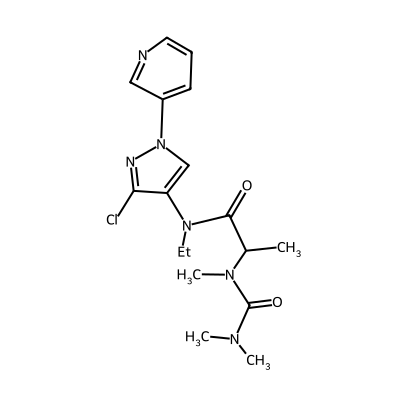 CCN(C(=O)C(C)N(C)C(=O)N(C)C)c1cn(-c2cccnc2)nc1Cl